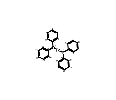 c1ccc([P]([Pd][P](c2ccccc2)c2ccccc2)c2ccccc2)cc1